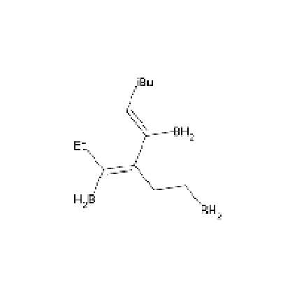 BCC/C(C(B)=CC(C)CC)=C(\B)CC